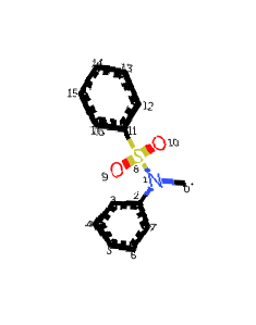 [CH2]N(c1ccccc1)S(=O)(=O)c1ccccc1